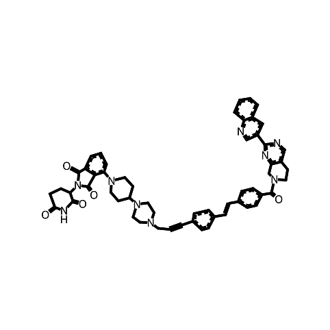 O=C1CCC(N2C(=O)c3cccc(N4CCC(N5CCN(CC#Cc6ccc(/C=C/c7ccc(C(=O)N8CCc9cnc(-c%10cnc%11ccccc%11c%10)nc9C8)cc7)cc6)CC5)CC4)c3C2=O)C(=O)N1